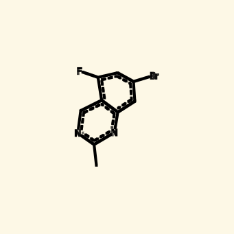 Cc1ncc2c(F)cc(Br)cc2n1